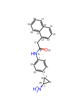 N[C@@H]1C[C@H]1c1ccc(NC(=O)Cc2cccc3ccccc23)cc1